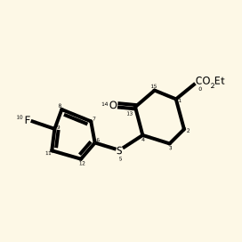 CCOC(=O)C1CCC(Sc2ccc(F)cc2)C(=O)C1